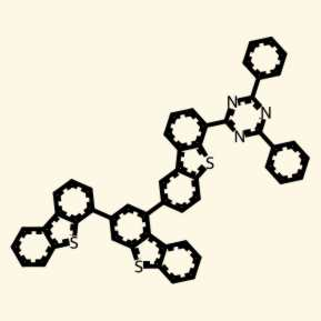 c1ccc(-c2nc(-c3ccccc3)nc(-c3cccc4c3sc3ccc(-c5cc(-c6cccc7c6sc6ccccc67)cc6sc7ccccc7c56)cc34)n2)cc1